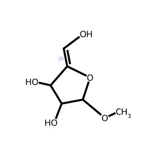 COC1O/C(=C\O)C(O)C1O